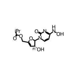 CC(C)C(=O)OCC1=C[C@@H](O)C(n2ccc(NO)nc2=O)O1